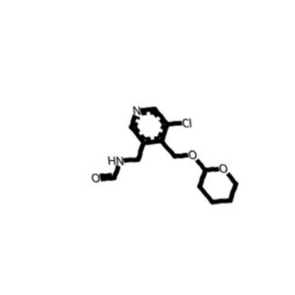 O=CNCc1cncc(Cl)c1COC1CCCCO1